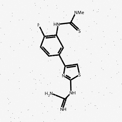 CNC(=S)Nc1cc(-c2csc(NC(=N)N)n2)ccc1F